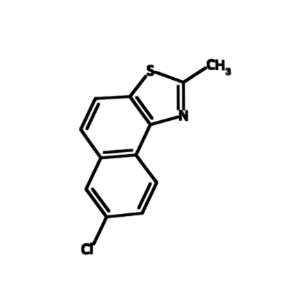 Cc1nc2c(ccc3cc(Cl)ccc32)s1